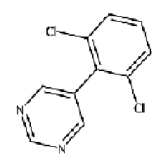 Clc1cccc(Cl)c1-c1cncnc1